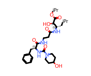 CC(C)C[C@H](NC(=O)CCNC(=O)[C@H](Cc1ccccc1)NC(=O)N1CCC(O)CC1)[C@@H](O)C(=O)OC(C)C